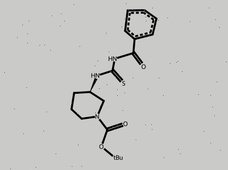 CC(C)(C)OC(=O)N1CCC[C@@H](NC(=S)NC(=O)c2ccccc2)C1